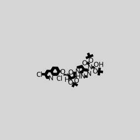 CC(C)(C)OC(=O)N(c1ncnc2c1ccn2[C@@H]1O[C@H](COc2ccc3cc(Cl)cnc3c2Cl)[C@H]2OC(C)(C)O[C@H]21)C(O)OC(C)(C)C